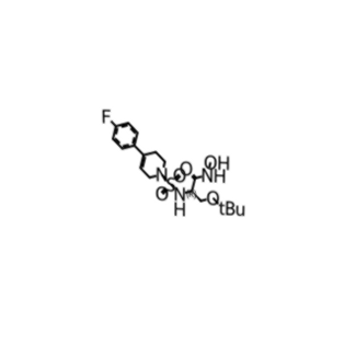 CC(C)(C)OC[C@@H](NS(=O)(=O)N1CC=C(c2ccc(F)cc2)CC1)C(=O)NO